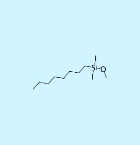 CCCCCCCC[Si](I)(I)OC